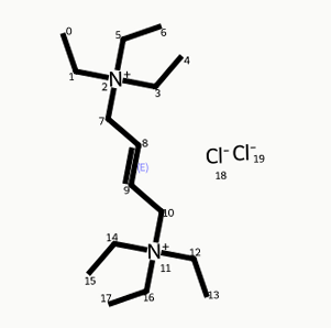 CC[N+](CC)(CC)C/C=C/C[N+](CC)(CC)CC.[Cl-].[Cl-]